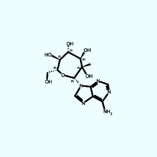 C[C@]1(O)[C@H](O)[C@@H](O)[C@H](O)[C@@H](CO)O[C@H]1n1cnc2c(N)ncnc21